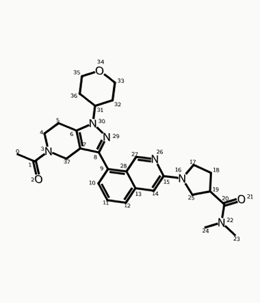 CC(=O)N1CCc2c(c(-c3cccc4cc(N5CCC(C(=O)N(C)C)C5)ncc34)nn2C2CCOCC2)C1